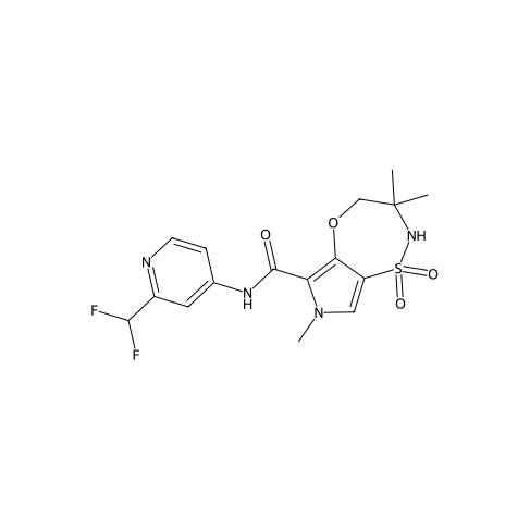 Cn1cc2c(c1C(=O)Nc1ccnc(C(F)F)c1)OCC(C)(C)NS2(=O)=O